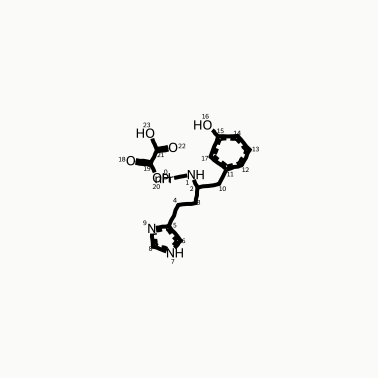 CCCNC(CCc1c[nH]cn1)Cc1cccc(O)c1.O=C(O)C(=O)O